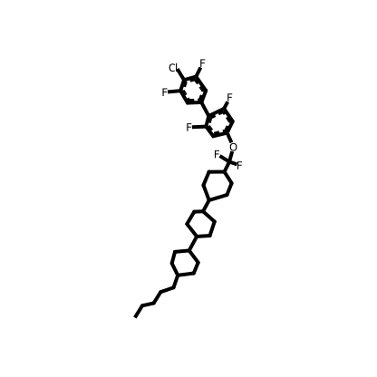 CCCCCC1CCC(C2CCC(C3CCC(C(F)(F)Oc4cc(F)c(-c5cc(F)c(Cl)c(F)c5)c(F)c4)CC3)CC2)CC1